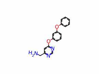 NCc1cc(Oc2cccc(Oc3ccccc3)c2)ncn1